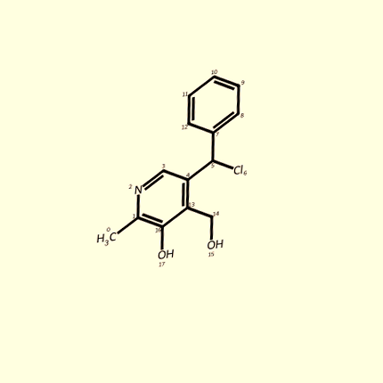 Cc1ncc(C(Cl)c2ccccc2)c(CO)c1O